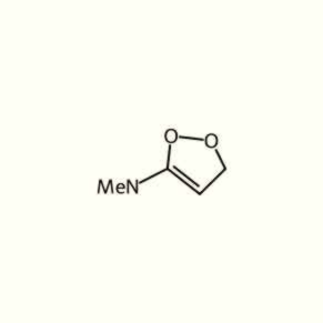 CNC1=CCOO1